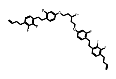 C=CCCc1ccc(CCc2ccc(OCCC(CC)CCOc3ccc(CCc4ccc(CCC=C)c(F)c4F)c(F)c3)cc2F)c(F)c1F